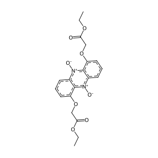 CCOC(=O)COc1cccc2c1[n+]([O-])c1cccc(OCC(=O)OCC)c1[n+]2[O-]